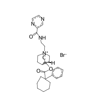 O=C(NCC[N+]12CCC(CC1)[C@@H](OC(=O)C1(c3ccccc3)CCCCCC1)C2)c1cnccn1.[Br-]